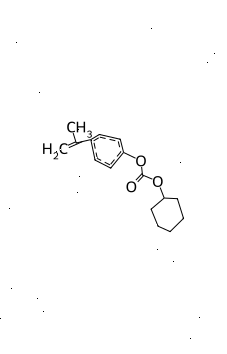 C=C(C)c1ccc(OC(=O)OC2CCCCC2)cc1